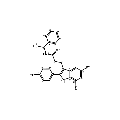 CC(NC(=O)CCc1c(-c2ccc(F)cc2)[nH]c2c(F)cc(F)cc12)c1ccccn1